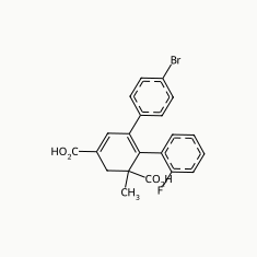 CC1(C(=O)O)CC(C(=O)O)=CC(c2ccc(Br)cc2)=C1c1ccccc1F